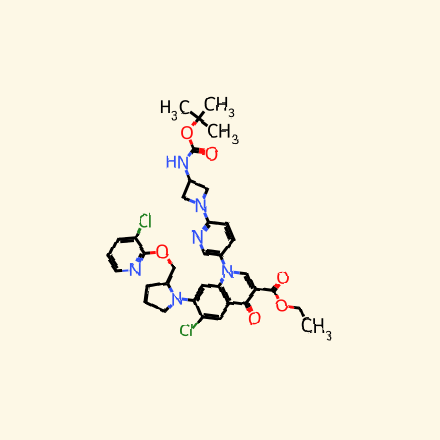 CCOC(=O)c1cn(-c2ccc(N3CC(NC(=O)OC(C)(C)C)C3)nc2)c2cc(N3CCCC3COc3ncccc3Cl)c(Cl)cc2c1=O